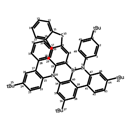 CC(C)(C)c1ccc(N2B3c4cc5sc6ccccc6c5cc4N(c4ccc(C(C)(C)C)cc4-c4ccccc4)c4cc(C(C)(C)C)cc(c43)-c3ccc(C(C)(C)C)cc32)cc1